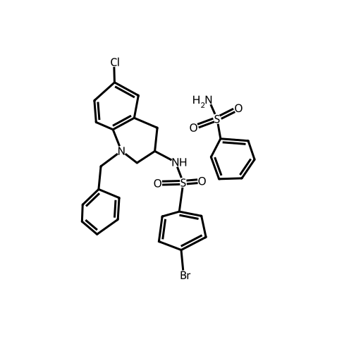 NS(=O)(=O)c1ccccc1.O=S(=O)(NC1Cc2cc(Cl)ccc2N(Cc2ccccc2)C1)c1ccc(Br)cc1